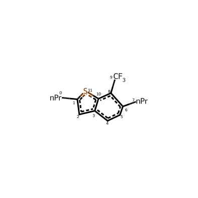 CCCc1cc2ccc(CCC)c(C(F)(F)F)c2s1